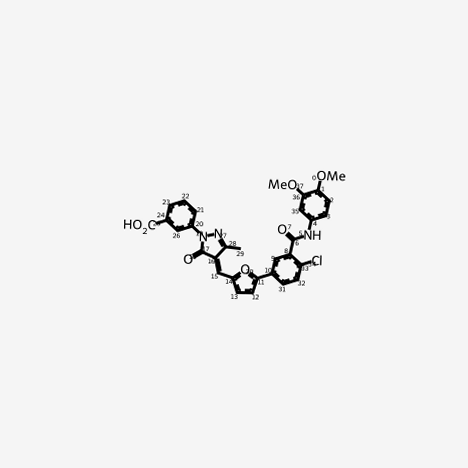 COc1ccc(NC(=O)c2cc(-c3ccc(C=C4C(=O)N(c5cccc(C(=O)O)c5)N=C4C)o3)ccc2Cl)cc1OC